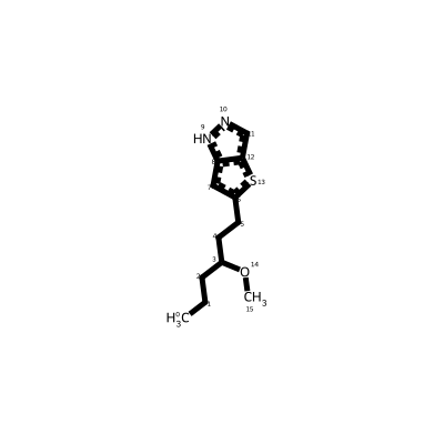 CCCC(CCc1cc2[nH]ncc2s1)OC